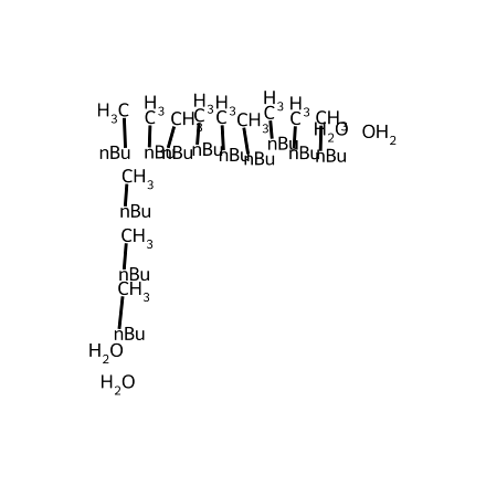 CCCCC.CCCCC.CCCCC.CCCCC.CCCCC.CCCCC.CCCCC.CCCCC.CCCCC.CCCCC.CCCCC.CCCCC.O.O.O.O